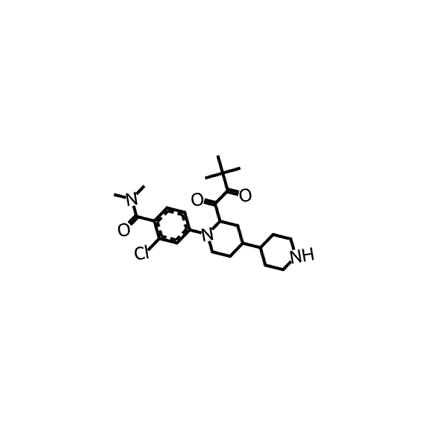 CN(C)C(=O)c1ccc(N2CCC(C3CCNCC3)CC2C(=O)C(=O)C(C)(C)C)cc1Cl